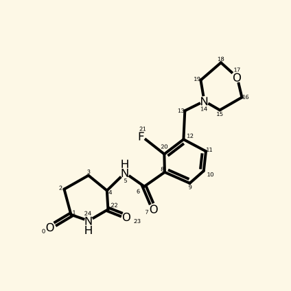 O=C1CCC(NC(=O)c2cccc(CN3CCOCC3)c2F)C(=O)N1